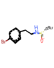 CC(C)(C)[S@+]([O-])NCCc1ccc(Br)cc1